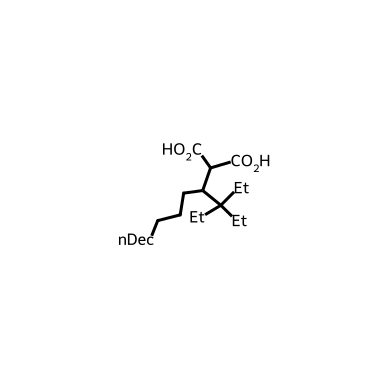 CCCCCCCCCCCCCC(C(C(=O)O)C(=O)O)C(CC)(CC)CC